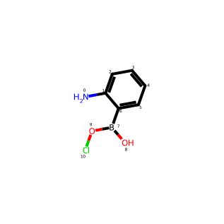 Nc1ccccc1B(O)OCl